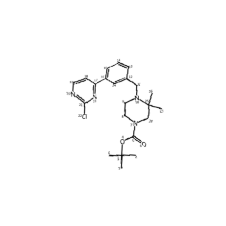 CC(C)(C)OC(=O)N1CCN(Cc2cccc(-c3ccnc(Cl)n3)c2)C(C)(C)C1